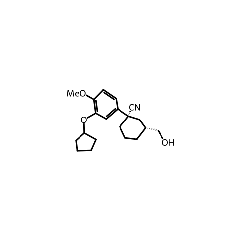 COc1ccc([C@]2(C#N)CCC[C@@H](CO)C2)cc1OC1CCCC1